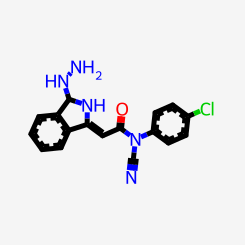 N#CN(C(=O)C=C1NC(NN)c2ccccc21)c1ccc(Cl)cc1